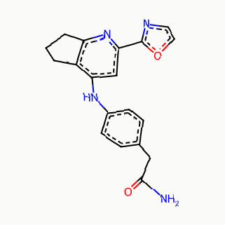 NC(=O)Cc1ccc(Nc2cc(-c3ncco3)nc3c2CCC3)cc1